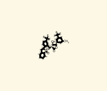 Cc1cc([C@H]2OC(=O)N(Cc3cc(C(F)(F)F)ccc3C3=Cc4ccccc4S3(=O)=O)[C@H]2C)cc(C(F)(F)F)c1